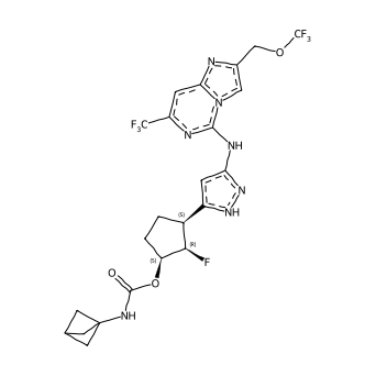 O=C(NC12CC(C1)C2)O[C@H]1CC[C@@H](c2cc(Nc3nc(C(F)(F)F)cc4nc(COC(F)(F)F)cn34)n[nH]2)[C@H]1F